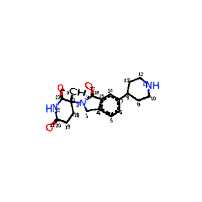 CC1(N2Cc3ccc(C4CCNCC4)cc3C2=O)CCC(=O)NC1=O